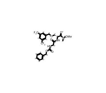 CON(C)C(=O)[C@@H](COCc1cc(C(F)(F)F)cc(C(F)(F)F)c1)NC(=O)CNC(=O)OCc1ccccc1